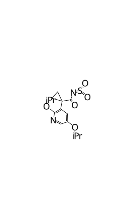 CC(C)Oc1cnc(OC(C)C)c(C2(C(=O)N=S(=O)=O)CC2)c1